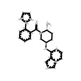 C[C@@H]1CC[C@@H](Oc2nccn3cncc23)CN1C(=O)c1ccccc1-n1nccn1